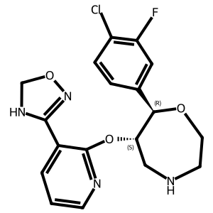 Fc1cc([C@H]2OCCNC[C@@H]2Oc2ncccc2C2=NOCN2)ccc1Cl